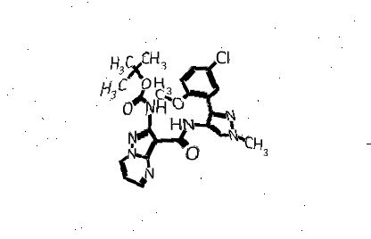 COc1ccc(Cl)cc1-c1nn(C)cc1NC(=O)c1c(NC(=O)OC(C)(C)C)nn2cccnc12